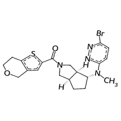 CN(c1ccc(Br)nn1)[C@@H]1CC[C@H]2CN(C(=O)c3cc4c(s3)CCOC4)C[C@H]21